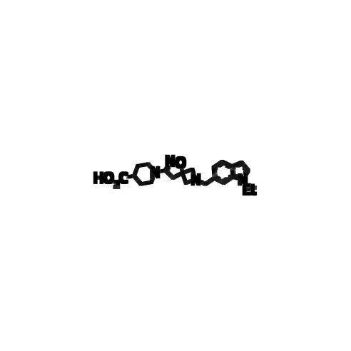 CCn1ccc2ccc(CN3CC4(CC(N5CCC(C(=O)O)CC5)=NO4)C3)cc21